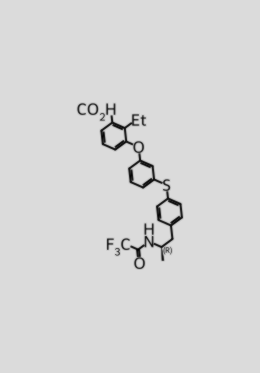 CCc1c(Oc2cccc(Sc3ccc(C[C@@H](C)NC(=O)C(F)(F)F)cc3)c2)cccc1C(=O)O